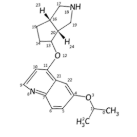 CC(C)Oc1ccc2nccc(OC3CC[C@@H]4CNC[C@H]34)c2c1